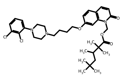 CC(CC(C)(C)C)C(C)(C)C(=O)OCn1c(=O)ccc2ccc(OCCCCN3CCN(c4cccc(Cl)c4Cl)CC3)cc21